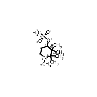 CN1CCC(OS(C)(=O)=O)C(C)(C)C1(C)C